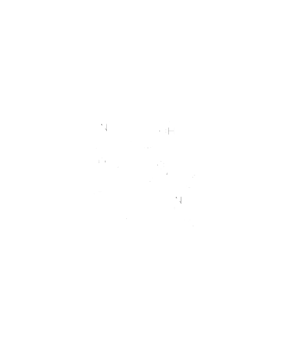 Cc1cc(F)c(C(=O)/C(=C\N(C)C)C(=O)O)cc1[N+](=O)[O-]